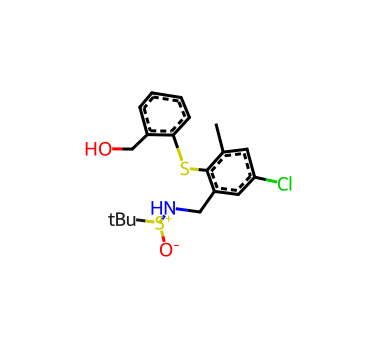 Cc1cc(Cl)cc(CN[S+]([O-])C(C)(C)C)c1Sc1ccccc1CO